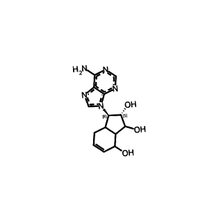 Nc1ncnc2c1ncn2[C@@H]1C2CC=CC(O)C2C(O)[C@H]1O